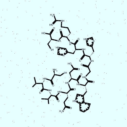 CC(C)[C@H](NC(=O)[C@@H](NC(=O)[C@@H](N)CS)C(C)C)C(=O)N[C@@H](CCC(N)=O)C(=O)N[C@@H](CC(=O)O)C(=O)N[C@@H](Cc1c[nH]c2ccccc12)C(=O)NCC(=O)N[C@@H](Cc1c[nH]cn1)C(=O)N[C@@H](Cc1c[nH]cn1)C(=O)N[C@@H](CCCNC(=N)N)C(=O)N[C@@H](CS)C(=O)O